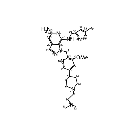 COc1cc(C2CCN(CCN(C)C)CC2)cnc1Cn1ncc2nc(N)nc(NCc3cc(C)on3)c21